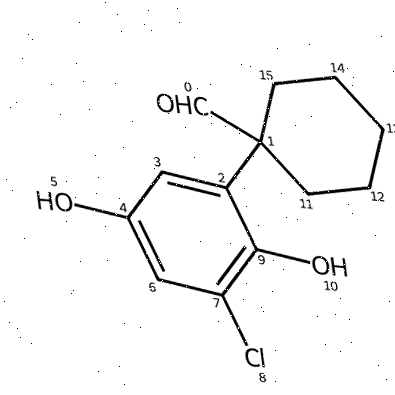 O=CC1(c2cc(O)cc(Cl)c2O)CCCCC1